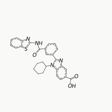 O=C(O)c1ccc2c(c1)nc(-c1cccc(C(=O)Nc3nc4ccccc4s3)c1)n2C1CCCCC1